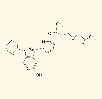 CC(O)COCCC(C)Oc1nccc(-c2nn(C3CCCCO3)c3ccc(O)cc23)n1